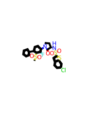 CS(=O)(=O)c1c(-c2ccccc2)ccc(N2CC[C@H](NS(=O)(=O)c3cc4ccc(Cl)cc4s3)C2=O)c1F